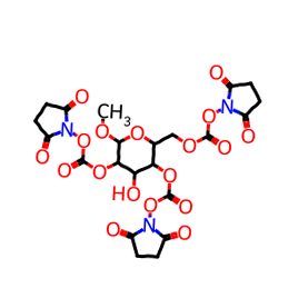 COC1OC(COC(=O)ON2C(=O)CCC2=O)C(OC(=O)ON2C(=O)CCC2=O)C(O)C1OC(=O)ON1C(=O)CCC1=O